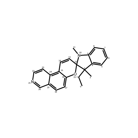 CCC1(C)c2ccccc2N(C)C12C=Cc1c(ccc3cnccc13)O2